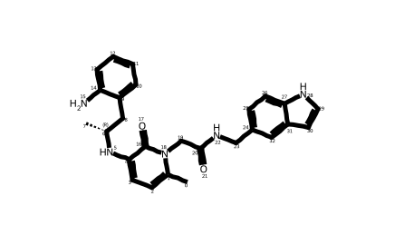 Cc1ccc(N[C@H](C)Cc2ccccc2N)c(=O)n1CC(=O)NCc1ccc2[nH]ccc2c1